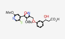 COc1cc(-c2onc(COc3cccc([C@H](O)CC(=O)O)c3)c2OCC(C)C)c(F)cn1